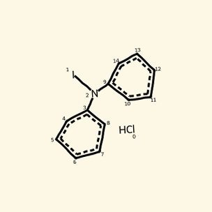 Cl.IN(c1ccccc1)c1ccccc1